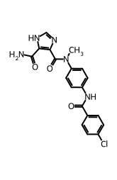 CN(C(=O)c1nc[nH]c1C(N)=O)c1ccc(NC(=O)c2ccc(Cl)cc2)cc1